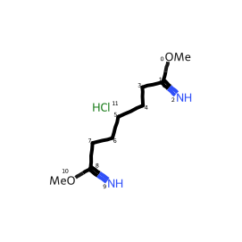 COC(=N)CCCCCC(=N)OC.Cl